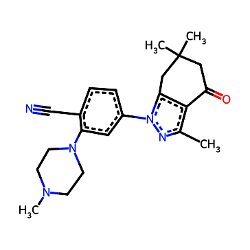 Cc1nn(-c2ccc(C#N)c(N3CCN(C)CC3)c2)c2c1C(=O)CC(C)(C)C2